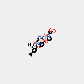 Cc1ncc(C(=O)NC(C)C(Oc2ccc(C(=O)O[C@H]3CCCN(C(=O)[C@H]4COC(=O)C4)C3)cc2)c2ccc(C3CC3)cc2)s1